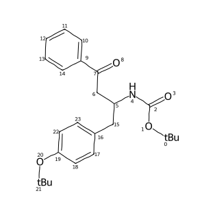 CC(C)(C)OC(=O)NC(CC(=O)c1ccccc1)Cc1ccc(OC(C)(C)C)cc1